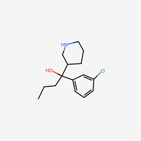 [CH2]CCC(O)(c1cccc(Cl)c1)C1CCCNC1